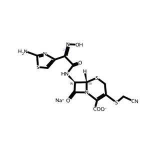 N#CCSC1=C(C(=O)[O-])N2C(=O)[C@@H](NC(=O)/C(=N\O)c3csc(N)n3)[C@@H]2SC1.[Na+]